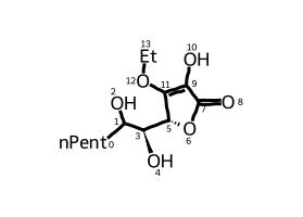 CCCCCC(O)[C@H](O)[C@H]1OC(=O)C(O)=C1OCC